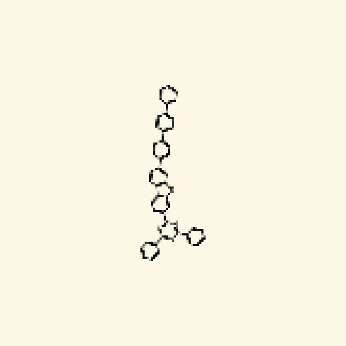 c1ccc(-c2ccc(-c3ccc(-c4ccc5c(c4)sc4cc(-c6nc(-c7ccccc7)nc(-c7ccccc7)n6)ccc45)cc3)cc2)cc1